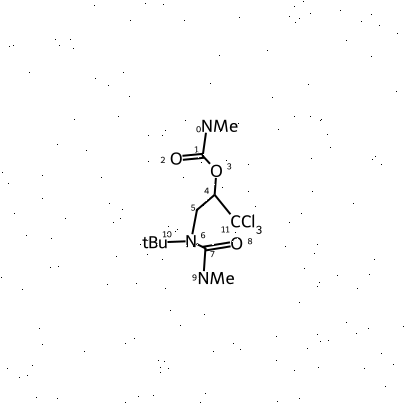 CNC(=O)OC(CN(C(=O)NC)C(C)(C)C)C(Cl)(Cl)Cl